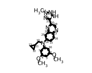 COc1cc(OC)cc(N(CC2CC2)c2ccc3ncc(C4=NN(C)NN4)nc3c2)c1